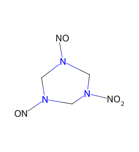 O=NN1CN(N=O)CN([N+](=O)[O-])C1